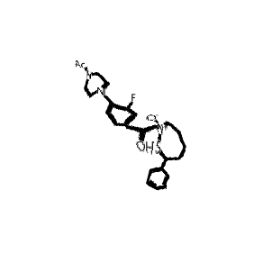 CC(=O)N1CCN(c2ccc(C(O)[N+]3([O-])CCCCC(c4ccccc4)S3)cc2F)CC1